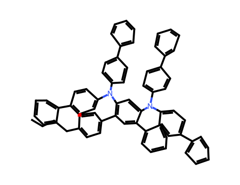 CCCCc1ccc(-c2cc(-c3ccccc3)c(N(c3ccc(-c4ccccc4)cc3)c3ccc(-c4ccccc4)cc3)cc2N(c2ccc(-c3ccccc3)cc2)c2ccc(-c3ccccc3)cc2)cc1